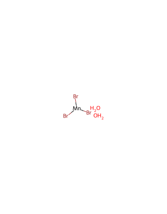 O.O.[Br][Mn]([Br])[Br]